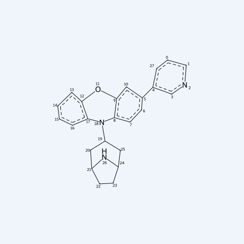 c1cncc(-c2ccc3c(c2)Oc2ccccc2N3C2CC3CCC(C2)N3)c1